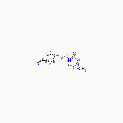 CN1CCN(CCCc2ccc(C#N)cc2)C(=O)C1